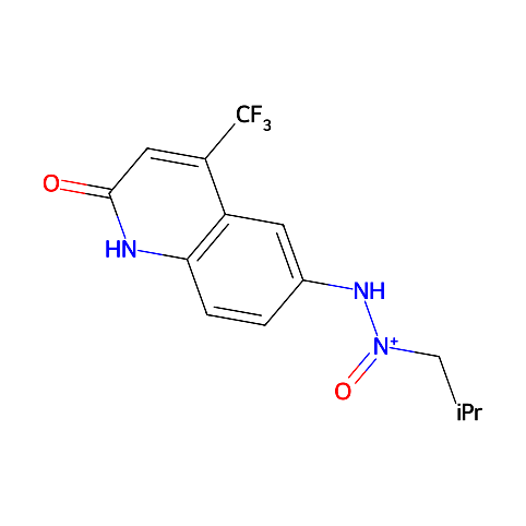 CC(C)C[N+](=O)Nc1ccc2[nH]c(=O)cc(C(F)(F)F)c2c1